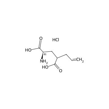 C=CCC(C[C@@H](N)C(=O)O)C(=O)O.Cl